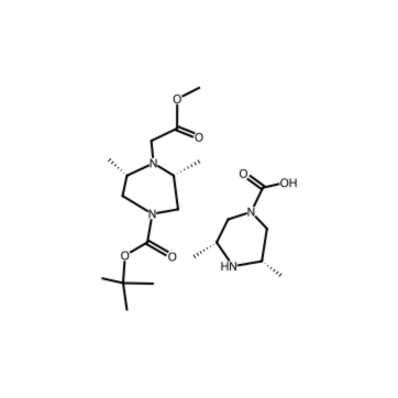 COC(=O)CN1[C@H](C)CN(C(=O)OC(C)(C)C)C[C@@H]1C.C[C@@H]1CN(C(=O)O)C[C@H](C)N1